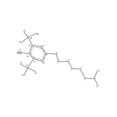 CC(C)CCCCC[CH]c1cc(C(C)(C)C)c(O)c(C(C)(C)C)c1